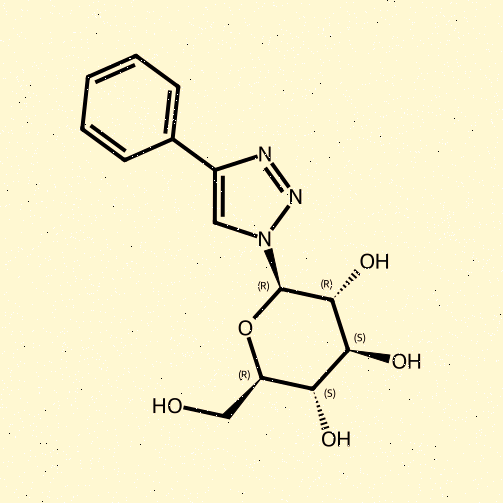 OC[C@H]1O[C@@H](n2cc(-c3ccccc3)nn2)[C@H](O)[C@@H](O)[C@@H]1O